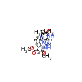 COC(=O)c1ccc(Nc2ncc3c(n2)N(C2CCCC2)CC(C)(C)C(=O)N3)c(OC)c1